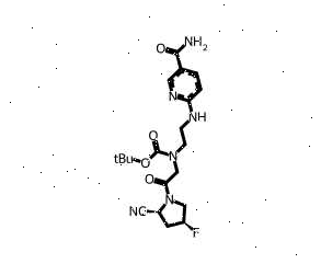 CC(C)(C)OC(=O)N(CCNc1ccc(C(N)=O)cn1)CC(=O)N1C[C@@H](F)C[C@H]1C#N